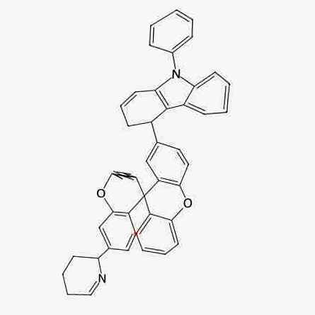 C1=Cc2c(c3ccccc3n2-c2ccccc2)C(c2ccc3c(c2)C2(c4ccccc4Oc4cc(C5CCCC=N5)ccc42)c2ccccc2O3)C1